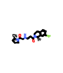 CC(C)C1c2cc(F)ccc2CCN1C(=O)CCNCC(=O)N1CCC[C@H]1C#N